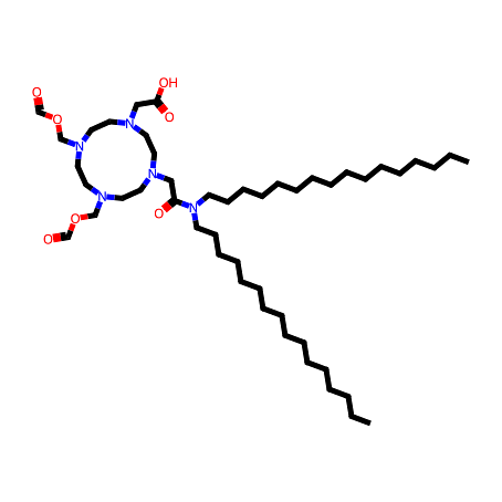 CCCCCCCCCCCCCCCCN(CCCCCCCCCCCCCCCC)C(=O)CN1CCN(COC=O)CCN(COC=O)CCN(CC(=O)O)CC1